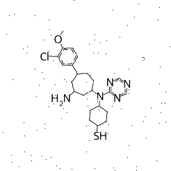 COc1ccc(C2CCC(N(c3ncncn3)C3CCC(S)CC3)CC(N)C2)cc1Cl